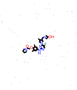 Cc1cn(-c2nc(Nc3cc(C)c(OCC(=O)N4CCCC4)c(C)c3)ncc2F)cc1CN1CC(O)C1